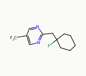 FC1(Cc2ncc(C(F)(F)F)cn2)CCCCC1